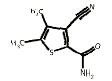 Cc1sc(C(N)=O)c(C#N)c1C